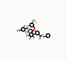 O=C(OCc1ccccc1)c1ccc(N(Cc2cc(C(F)(F)F)cc(C(F)(F)F)c2)C(=O)CN(Cc2ccc(Cl)cc2)[S+]([O-])c2c(F)c(F)c(F)c(F)c2F)cc1